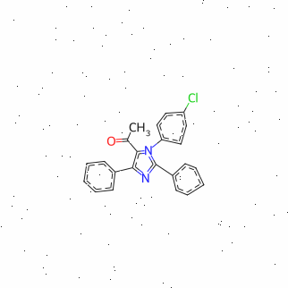 CC(=O)c1c(-c2ccccc2)nc(-c2ccccc2)n1-c1ccc(Cl)cc1